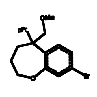 CCCC1(COC)CCCOc2cc(Br)ccc21